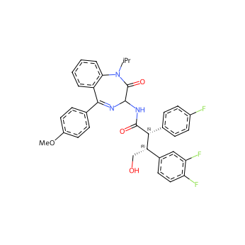 COc1ccc(C2=NC(NC(=O)[C@H](c3ccc(F)cc3)[C@@H](CO)c3ccc(F)c(F)c3)C(=O)N(C(C)C)c3ccccc32)cc1